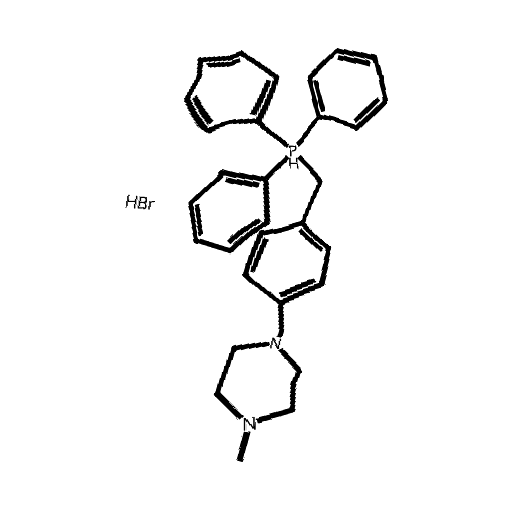 Br.CN1CCN(c2ccc(C[PH](c3ccccc3)(c3ccccc3)c3ccccc3)cc2)CC1